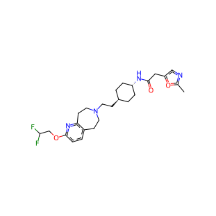 Cc1ncc(CC(=O)N[C@H]2CC[C@H](CCN3CCc4ccc(OCC(F)F)nc4CC3)CC2)o1